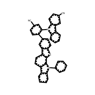 N#Cc1ccc(-c2ccc3sc4c(ccc5c6ccccc6n(-c6ccccc6)c54)c3c2)c(-n2c3ccccc3c3cc(C#N)ccc32)c1